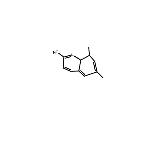 CC1=CC(C)C2N=C(C#N)C=CC2=C1